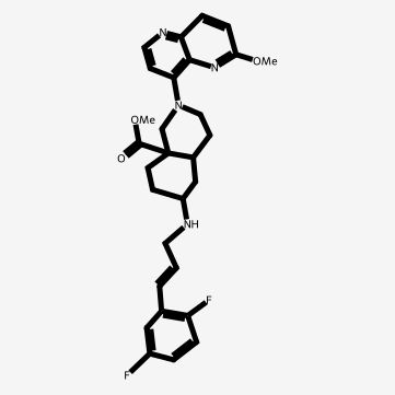 COC(=O)C12CCC(NCC=Cc3cc(F)ccc3F)CC1CCN(c1ccnc3ccc(OC)nc13)C2